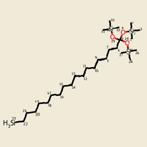 C[Si](C)(C)OC(CCCCCCCCCCCCCCCCC[SiH3])(O[Si](C)(C)C)O[Si](C)(C)C